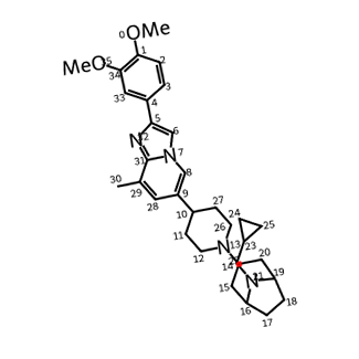 COc1ccc(-c2cn3cc(C4CCN(C5CC6CCC(C5)N6CC5CC5)CC4)cc(C)c3n2)cc1OC